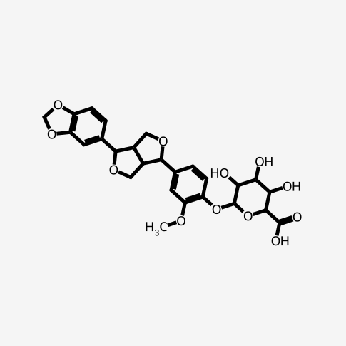 COc1cc(C2OCC3C(c4ccc5c(c4)OCO5)OCC23)ccc1OC1OC(C(=O)O)C(O)C(O)C1O